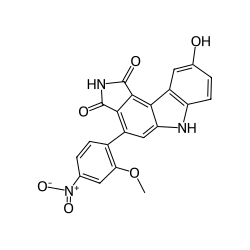 COc1cc([N+](=O)[O-])ccc1-c1cc2[nH]c3ccc(O)cc3c2c2c1C(=O)NC2=O